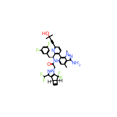 Cc1ccc(-c2ccc(C#CC(C)(C)O)nc2[C@H](Cc2cc(F)cc(F)c2)NC(=O)Cn2nc(C(F)F)c3c2C(F)(F)[C@@H]2C#C[C@H]32)c2c1c(N)nn2C